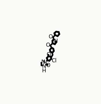 O=C(c1ccc(Cc2c(Cl)cc(N3N=CCNC3=O)cc2Cl)cc1)c1ccnc(C(=O)c2ccccc2)c1